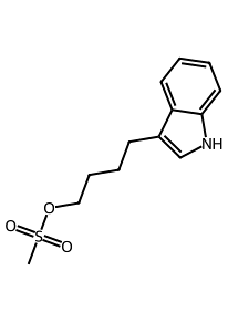 CS(=O)(=O)OCCCCc1c[nH]c2ccccc12